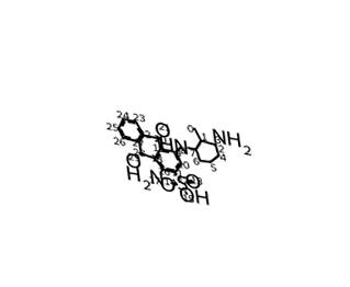 CC1C(N)CCCC1Nc1cc(S(=O)(=O)O)c(N)c2c1C(=O)c1ccccc1C2=O